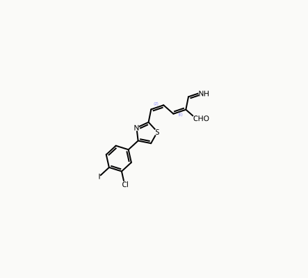 N=C/C(C=O)=C\C=C/c1nc(-c2ccc(I)c(Cl)c2)cs1